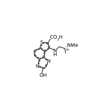 CN[C@H](C)CNc1c(C(=O)O)sc2ccc3nc(O)cnc3c12